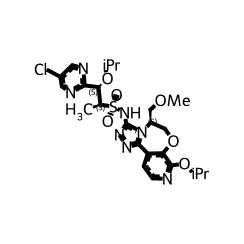 COC[C@H]1COc2c(ccnc2OC(C)C)-c2nnc(NS(=O)(=O)[C@@H](C)[C@@H](OC(C)C)c3ncc(Cl)cn3)n21